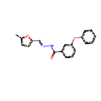 Cc1ccc(C=NNC(=O)c2cccc(Oc3ccccc3)c2)o1